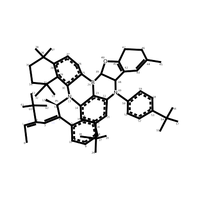 C/C=C(\C=C(\c1ccccc1)[C@@H](C)N1c2cc(C(C)(C)C)cc3c2B(c2ccc4c(c21)C(C)(C)CCC4(C)C)C1OC2=C(C=C(C)CC2)C1N3c1ccc(C(C)(C)C)cc1)C(C)(C)C